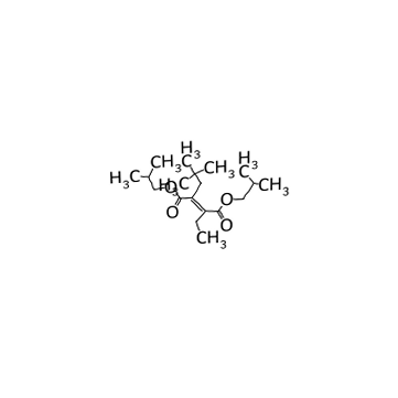 CCC(C(=O)OCC(C)C)=C(CC(C)(C)C)C(=O)OCC(C)C